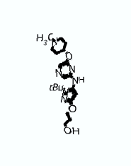 CN1CCC(Oc2cncc(Nc3cc(OCCCO)nn3C(C)(C)C)n2)CC1